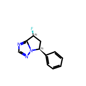 F[C@H]1C[C@@H](c2ccccc2)n2n[c]nc21